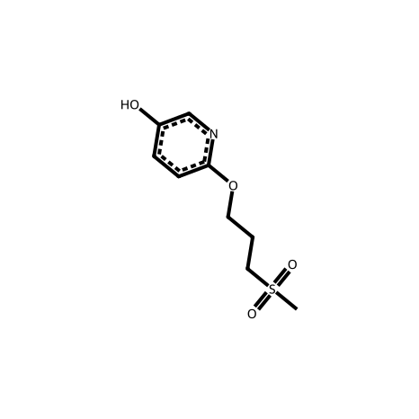 CS(=O)(=O)CCCOc1ccc(O)cn1